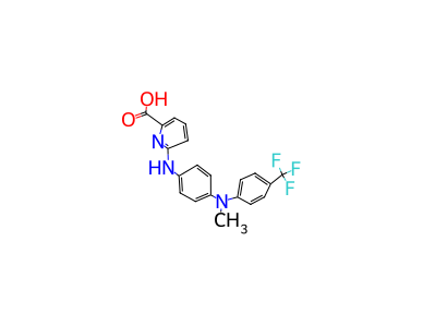 CN(c1ccc(Nc2cccc(C(=O)O)n2)cc1)c1ccc(C(F)(F)F)cc1